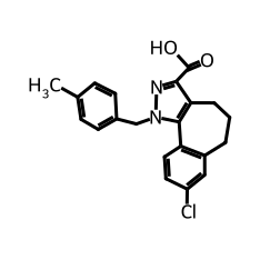 Cc1ccc(Cn2nc(C(=O)O)c3c2-c2ccc(Cl)cc2CCC3)cc1